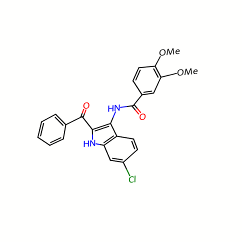 COc1ccc(C(=O)Nc2c(C(=O)c3ccccc3)[nH]c3cc(Cl)ccc23)cc1OC